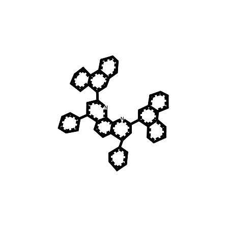 c1ccc(-c2cc(-c3cc4ccccc4c4ccccc34)nc3c2ccc2c(-c4ccccc4)cc(-c4cc5ccccc5c5ccccc45)nc23)cc1